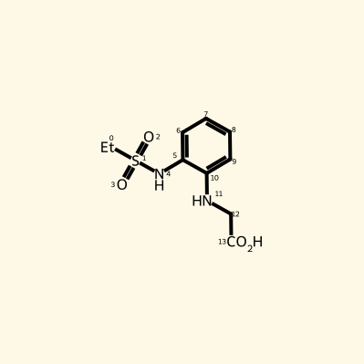 CCS(=O)(=O)Nc1ccccc1NCC(=O)O